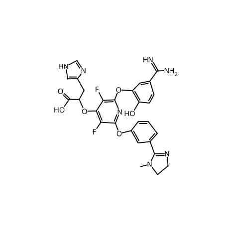 CN1CCN=C1c1cccc(Oc2nc(Oc3cc(C(=N)N)ccc3O)c(F)c(OC(Cc3c[nH]cn3)C(=O)O)c2F)c1